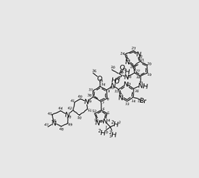 [2H]C([2H])([2H])n1cc(-c2cc(Nc3ncc(Br)c(Nc4ccc5nccnc5c4NS(C)(=O)=O)n3)c(OC)cc2N2CCC(N3CCN(C)CC3)CC2)cn1